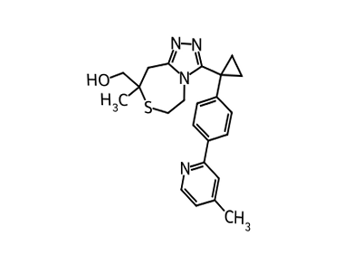 Cc1ccnc(-c2ccc(C3(c4nnc5n4CCSC(C)(CO)C5)CC3)cc2)c1